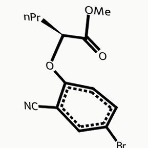 CCC[C@H](Oc1ccc(Br)cc1C#N)C(=O)OC